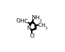 Cc1cc(Cl)nc(C=O)c1N